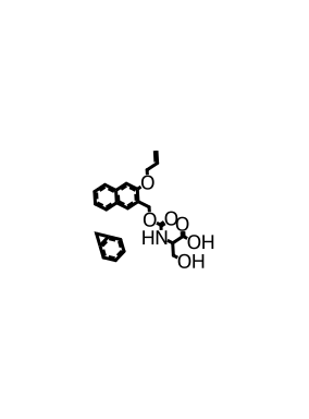 C=CCOc1cc2ccccc2cc1COC(=O)NC(CO)C(=O)O.c1ccc2c(c1)C2